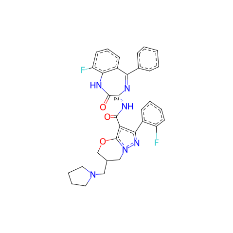 O=C(N[C@H]1N=C(c2ccccc2)c2cccc(F)c2NC1=O)c1c(-c2ccccc2F)nn2c1OCC(CN1CCCC1)C2